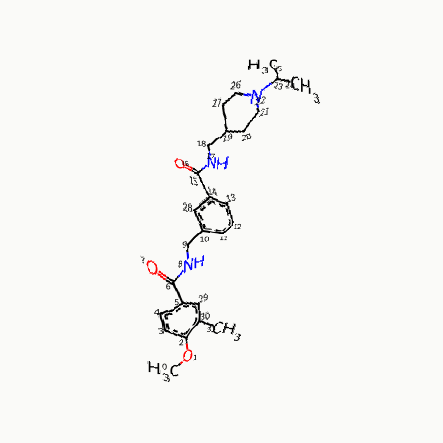 COc1ccc(C(=O)NCc2cccc(C(=O)NCC3CCN(C(C)C)CC3)c2)cc1C